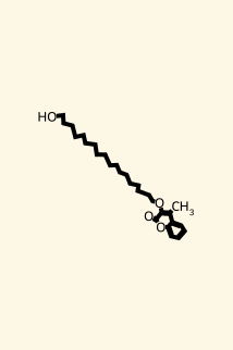 Cc1c(OCCCCCCCCCCCCCCCCCCO)c(=O)oc2ccccc12